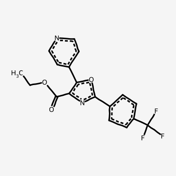 CCOC(=O)c1nc(-c2ccc(C(F)(F)F)cc2)oc1-c1ccncc1